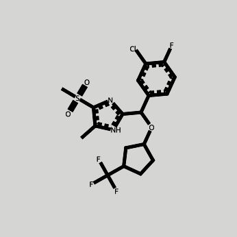 Cc1[nH]c(C(OC2CCC(C(F)(F)F)C2)c2ccc(F)c(Cl)c2)nc1S(C)(=O)=O